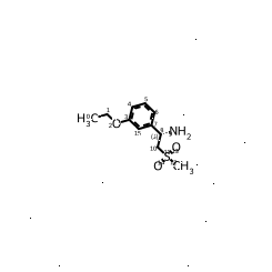 CCOc1cccc([C@H](N)CS(C)(=O)=O)c1